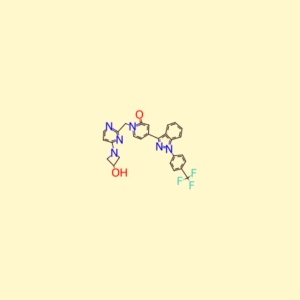 O=c1cc(-c2nn(-c3ccc(C(F)(F)F)cc3)c3ccccc23)ccn1Cc1nccc(N2CC(O)C2)n1